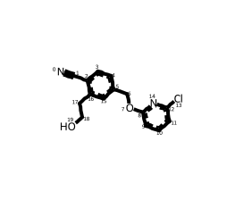 N#Cc1ccc(COc2cccc(Cl)n2)cc1CCO